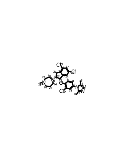 Cc1nnc(C)n1-c1ccc(O[C@H]2c3cc(Cl)cc(Cl)c3C[C@@H]2N2CCCN(C)CC2)c(Cl)c1